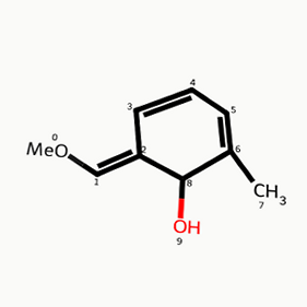 COC=C1C=CC=C(C)C1O